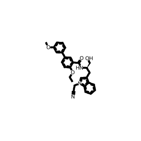 CCOc1ccc(-c2cccc(OC)c2)cc1C(=O)N[C@@H](CO)Cc1cn(CC#N)c2ccccc12